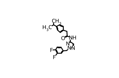 CC(C)c1ccc(CC(=O)Nc2cnn(Cc3ccc(F)c(F)c3)n2)cc1